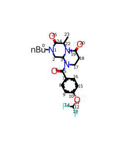 CCCCN1CC2N(C(=O)c3ccc(OC(F)F)cc3)CCC(=O)N2C(C)C1=O